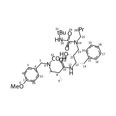 COc1ccc(CN(C[C@@H](C)C(=O)N[C@@H](Cc2ccccc2)[C@H](O)CN(CC(C)C)S(=O)(=O)NC(C)(C)C)C(=O)O)cc1